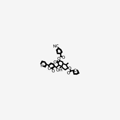 CC1C(OC(=O)c2ccccc2)CCC2(C)C1CC(OC(=O)c1ccc(C#N)cc1)C1(C)Oc3cc(-c4cccnc4)oc(=O)c3C(O)C21